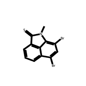 CN1C(=S)c2cccc3c(Br)cc(Br)c1c23